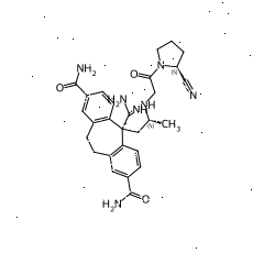 C[C@@H](CC1(C(=N)N)c2ccc(C(N)=O)cc2CCc2cc(C(N)=O)ccc21)NCC(=O)N1CCC[C@H]1C#N